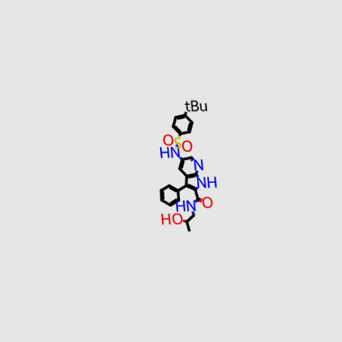 CC(O)CNC(=O)c1[nH]c2ncc(NS(=O)(=O)c3ccc(C(C)(C)C)cc3)cc2c1-c1ccccc1